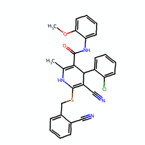 COc1ccccc1NC(=O)C1=C(C)NC(SCc2ccccc2C#N)=C(C#N)C1c1ccccc1Cl